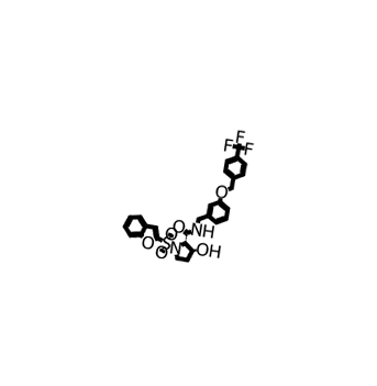 O=C(NCc1cccc(OCc2ccc(C(F)(F)F)cc2)c1)[C@@H]1[C@@H](O)CCN1S(=O)(=O)c1cc2ccccc2o1